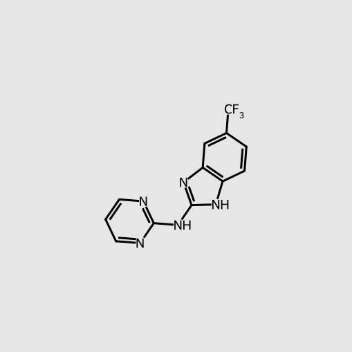 FC(F)(F)c1ccc2[nH]c(Nc3ncccn3)nc2c1